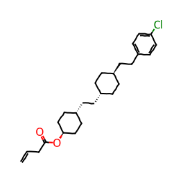 C=CCC(=O)O[C@H]1CC[C@H](CC[C@H]2CC[C@H](CCc3ccc(Cl)cc3)CC2)CC1